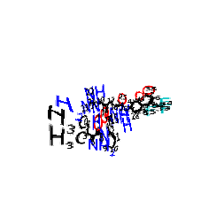 CC[C@@H](C)[C@@H](N)C(=O)N1CCC[C@H]1C(=O)N[C@@H](CCCNC(=N)N)C(=O)Nc1ccc2c(C(F)(F)F)cc(=O)oc2c1